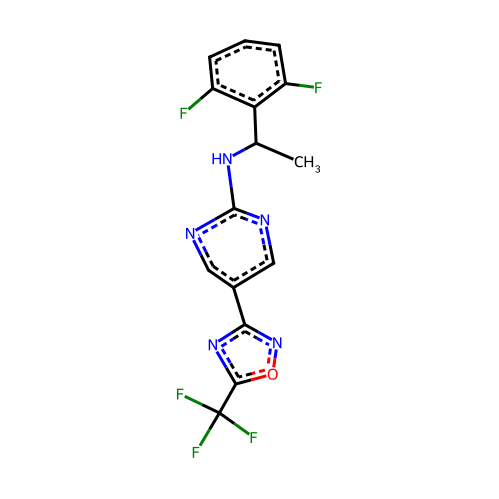 CC(Nc1ncc(-c2noc(C(F)(F)F)n2)cn1)c1c(F)cccc1F